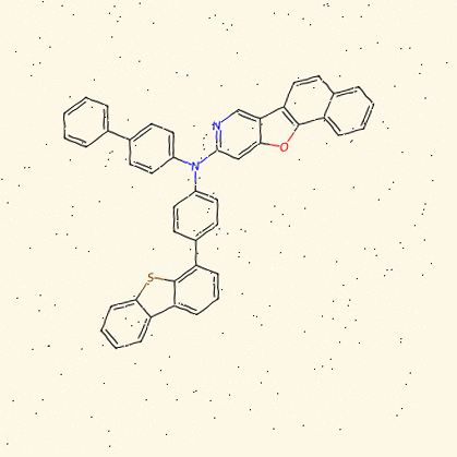 c1ccc(-c2ccc(N(c3ccc(-c4cccc5c4sc4ccccc45)cc3)c3cc4oc5c6ccccc6ccc5c4cn3)cc2)cc1